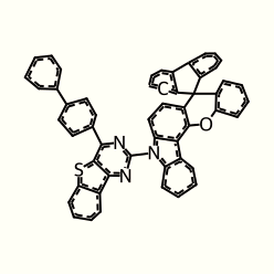 c1ccc(-c2ccc(-c3nc(-n4c5ccccc5c5c6c(ccc54)C4(c5ccccc5O6)c5ccccc5-c5ccccc54)nc4c3sc3ccccc34)cc2)cc1